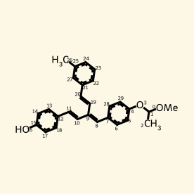 COC(C)Oc1ccc(C=C(C=Cc2ccc(O)cc2)C=Cc2cccc(C)c2)cc1